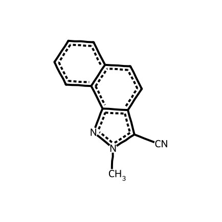 Cn1nc2c(ccc3ccccc32)c1C#N